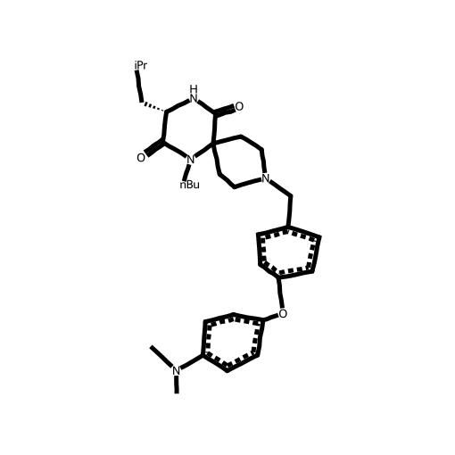 CCCCN1C(=O)[C@H](CC(C)C)NC(=O)C12CCN(Cc1ccc(Oc3ccc(N(C)C)cc3)cc1)CC2